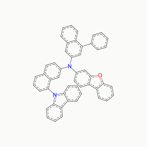 c1ccc(-c2cc(N(c3ccc4c(c3)oc3ccccc34)c3ccc4cccc(-n5c6ccccc6c6ccccc65)c4c3)cc3ccccc23)cc1